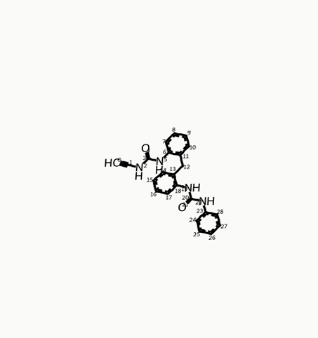 C#CNC(=O)Nc1ccccc1Cc1ccccc1NC(=O)Nc1ccccc1